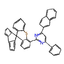 c1ccc(-c2cc(-c3ccc4ccccc4c3)nc(-c3cccc4c3Sc3ccccc3C43c4ccccc4-c4ccccc43)n2)cc1